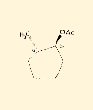 CC(=O)O[C@H]1CCCC[C@@H]1C